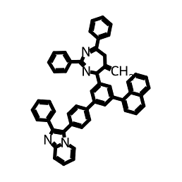 C=C1CC(c2ccccc2)=NC(c2ccccc2)=NC1c1cc(-c2ccc(-c3c(-c4ccccc4)nc4ccccn34)cc2)cc(-c2cccc3ccccc23)c1